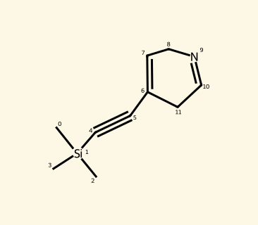 C[Si](C)(C)C#CC1=CCN=CC1